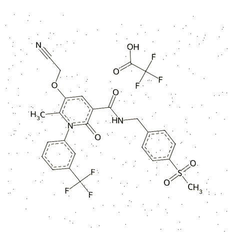 Cc1c(OCC#N)cc(C(=O)NCc2ccc(S(C)(=O)=O)cc2)c(=O)n1-c1cccc(C(F)(F)F)c1.O=C(O)C(F)(F)F